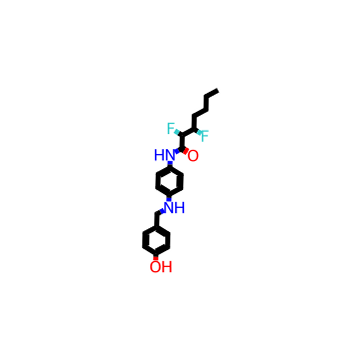 CCCCC(F)C(F)C(=O)Nc1ccc(NCc2ccc(O)cc2)cc1